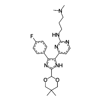 CN(C)CCCNc1nccc(-c2[nH]c(C3OCC(C)(C)CO3)nc2-c2ccc(F)cc2)n1